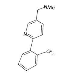 CNCc1ccc(-c2ccccc2C(F)(F)F)nc1